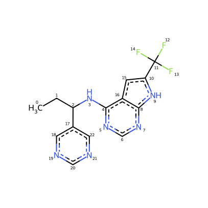 CCC(Nc1ncnc2[nH]c(C(F)(F)F)cc12)c1cncnc1